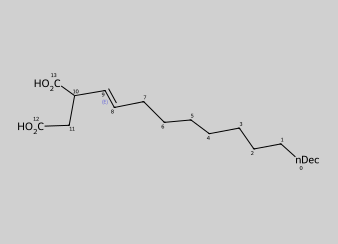 CCCCCCCCCCCCCCCCC/C=C/C(CC(=O)O)C(=O)O